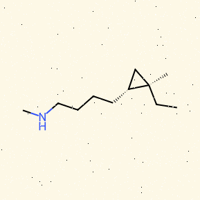 CC[C@]1(C)C[C@H]1CCCCNC